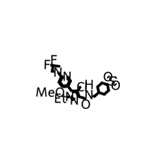 CCn1nc(C(=O)NCC2CCC(S(C)(=O)=O)CC2)c(Cl)c1-c1cnc(N2CC(F)(F)C2)cc1OC